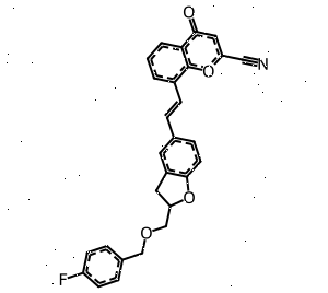 N#Cc1cc(=O)c2cccc(C=Cc3ccc4c(c3)CC(COCc3ccc(F)cc3)O4)c2o1